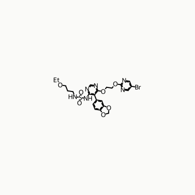 CCOCCCNS(=O)(=O)Nc1ncnc(OCCOc2ncc(Br)cn2)c1-c1ccc2c(c1)OCO2